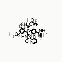 COc1cc(OC)c(F)c(C(Nc2ccc(C(=N)N)cc2)c2nn(-c3ncccc3N)c(=O)[nH]2)c1.O=C(O)C(F)(F)F